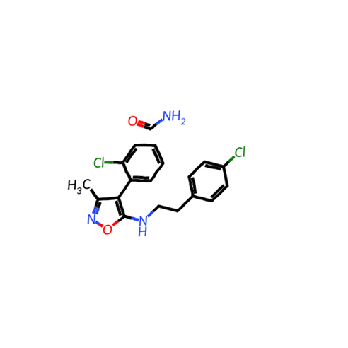 Cc1noc(NCCc2ccc(Cl)cc2)c1-c1ccccc1Cl.NC=O